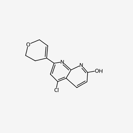 Oc1ccc2c(Cl)cc(C3=CCOCC3)nc2n1